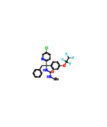 CC(C)(C)NC(=O)NC(Cc1ccccc1)(c1ccc(OC(F)(F)C(F)F)cc1)c1ccc(Cl)cn1